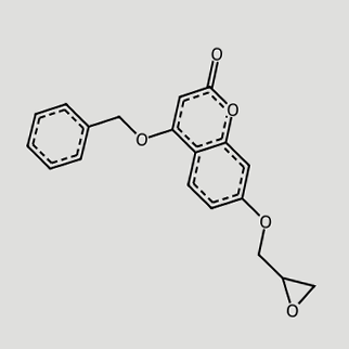 O=c1cc(OCc2ccccc2)c2ccc(OCC3CO3)cc2o1